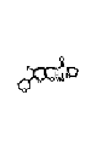 COc1nc(C2CCCOC2)c(F)cc1CNC(=O)[C@@H]1CCCN1